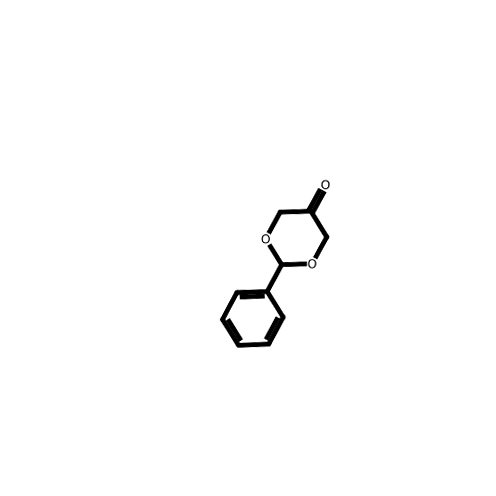 O=C1COC(c2ccccc2)OC1